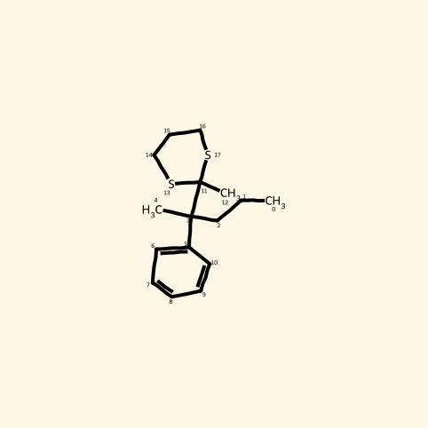 CCCC(C)(c1ccccc1)C1(C)SCCCS1